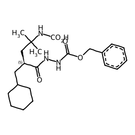 CC(C)(C[C@H](CC1CCCCC1)C(=O)NNC(=O)OCc1ccccc1)NC(=O)O